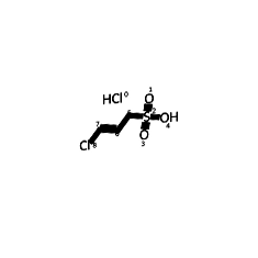 Cl.O=S(=O)(O)CC=CCl